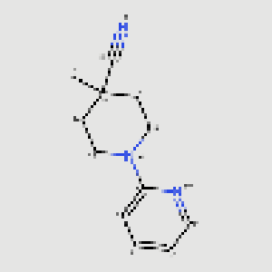 CC1(C#N)CCN(c2ccccn2)CC1